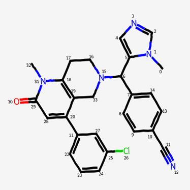 Cn1cncc1C(c1ccc(C#N)cc1)N1CCc2c(c(-c3cccc(Cl)c3)cc(=O)n2C)C1